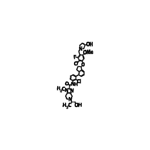 COc1cc(OC2CCc3c(-c4cccc(NC(=O)c5nc6c(n5C)CCN(C(C)CO)C6)c4Cl)cccc32)c(Cl)c(F)c1CN1CCC(O)C1